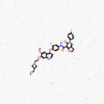 COCC1CN(CCOc2cc3nccc(Oc4ccc(NC(=O)c5c6c(cn(-c7ccc(F)cc7)c5=O)CCO6)cc4F)c3cc2OC)C1